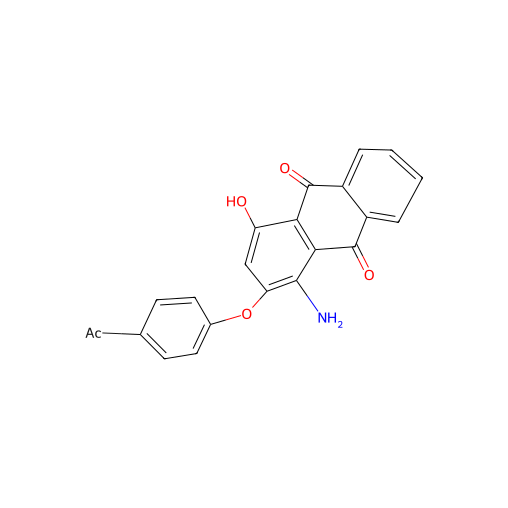 CC(=O)c1ccc(Oc2cc(O)c3c(c2N)C(=O)c2ccccc2C3=O)cc1